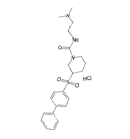 CN(C)CCNC(=O)N1CCCC(S(=O)(=O)c2ccc(-c3ccccc3)cc2)C1.Cl